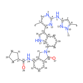 Cc1cnc(Nc2cc(C)n(C)n2)nc1-c1c[nH]c2c(N3Cc4c(NC(=O)C5CCCC5)cccc4C3=O)cccc12